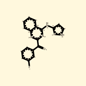 O=C(c1cccc(F)c1)c1nc(Nc2cc[nH]n2)c2ccccc2n1